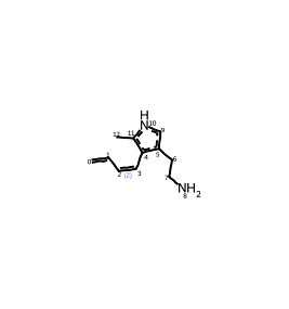 C=C/C=C\c1c(CCN)c[nH]c1C